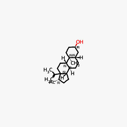 C=C(C)C12CC[C@H]3[C@@H](CC[C@H]4C[C@H](O)CC[C@@]43C)[C@@H]1CC[C@@H]2C(C)=O